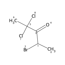 CC(Br)C(=O)C(C)(Cl)Cl